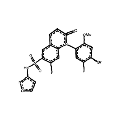 COc1cc(Br)c(F)cc1-n1c(=O)ccc2cc(S(=O)(=O)Nc3ccon3)c(F)cc21